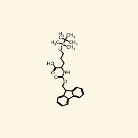 CC(C)(C)[Si](C)(C)OCCCC(NC(=O)OCC1c2ccccc2-c2ccccc21)C(=O)O